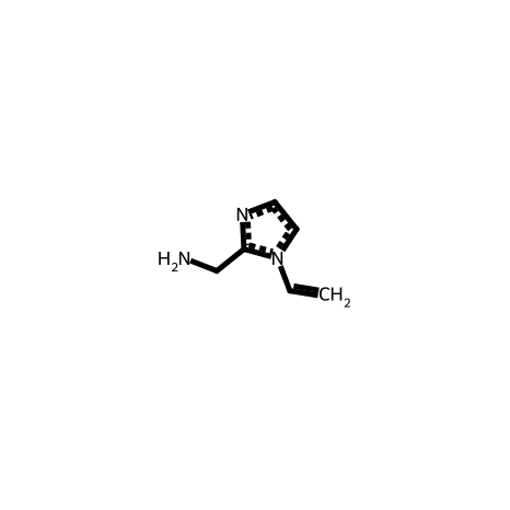 C=Cn1ccnc1CN